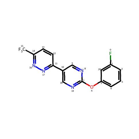 Fc1cccc(Oc2ncc(-c3ccc(C(F)(F)F)nn3)cn2)c1